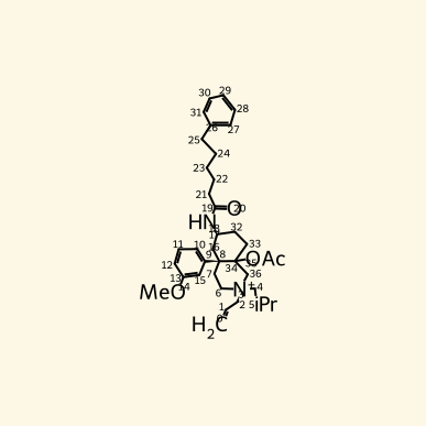 C=CC[N@@+]1(CC(C)C)CC[C@]2(c3cccc(OC)c3)C[C@@H](NC(=O)CCCCCc3ccccc3)CCC2(OC(C)=O)C1